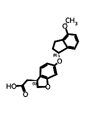 COc1cccc2c1CC[C@H]2Oc1ccc2c(c1)OC[C@H]2CC(=O)O